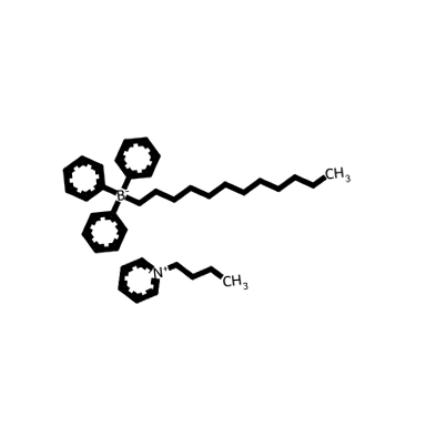 CCCCCCCCCCCC[B-](c1ccccc1)(c1ccccc1)c1ccccc1.CCCC[n+]1ccccc1